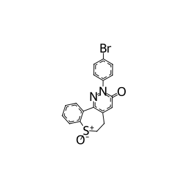 O=c1cc2c(nn1-c1ccc(Br)cc1)-c1ccccc1[S+]([O-])CC2